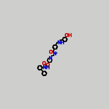 CN(CCN1CCC(OC(=O)Nc2ccccc2-c2ccccc2)CC1)C(=O)c1ccc(CNCc2cccc(O)c2)cc1